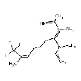 C=CN(C)/C(CCC/C=C(/C)C(F)(F)F)=C(\N)C(C)=N